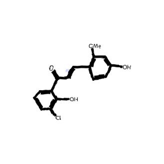 COc1cc(O)ccc1/C=C/C(=O)c1cccc(Cl)c1O